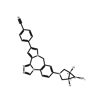 N#Cc1ccc(-c2cc3n(c2)Cc2cc(N4C[C@@H]5[C@@H](N)[C@@H]5C4)ccc2-n2cnnc2-3)cc1